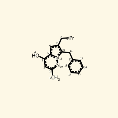 Cc1cc(O)c2cc(CC(C)C)c(Cc3ccccc3)n2n1